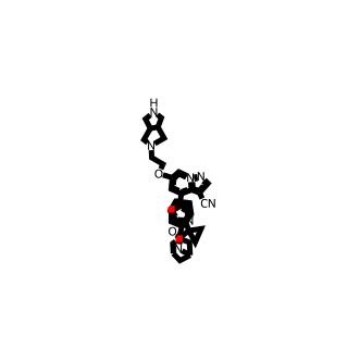 N#Cc1cnn2cc(OCCN3CC4CNCC4C3)cc(-c3ccc(N4CC5CC(C4)N5C(=O)C4(c5ccccc5)CC4)nc3)c12